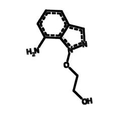 Nc1cccc2cnn(OCCO)c12